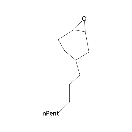 [CH2]CCCCCCCC1CCC2OC2C1